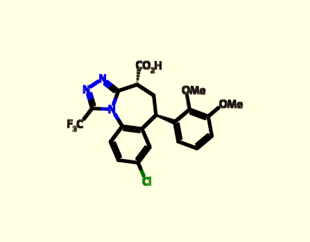 COc1cccc([C@@H]2C[C@@H](C(=O)O)c3nnc(C(F)(F)F)n3-c3ccc(Cl)cc32)c1OC